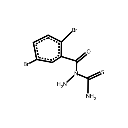 NC(=S)N(N)C(=O)c1cc(Br)ccc1Br